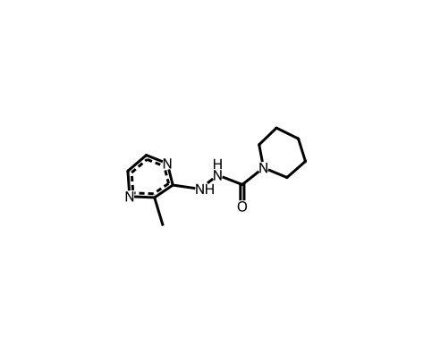 Cc1nccnc1NNC(=O)N1CCCCC1